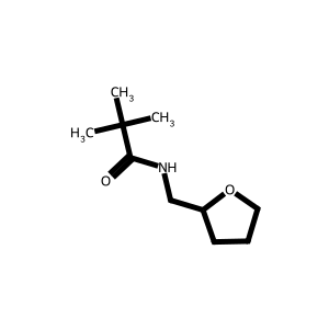 CC(C)(C)C(=O)NCC1CCCO1